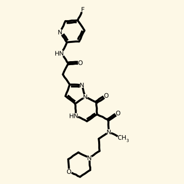 CN(CCN1CCOCC1)C(=O)c1c[nH]c2cc(CC(=O)Nc3ccc(F)cn3)nn2c1=O